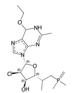 C=P(C)(C)CC(C)[C@H]1O[C@@H](n2cnc3c2N=C(C)NC3OCC)[C@H](Cl)[C@@H]1O